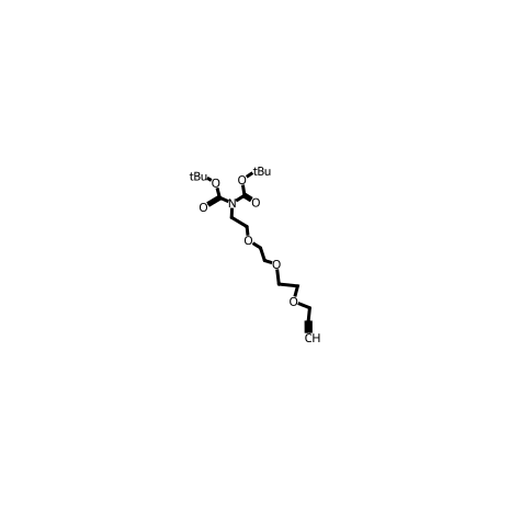 C#CCOCCOCCOCCN(C(=O)OC(C)(C)C)C(=O)OC(C)(C)C